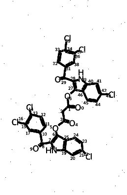 O=C(CC(=O)Oc1c(C(=O)c2ccc(Cl)c(Cl)c2)[nH]c2cc(Cl)ccc12)Oc1c(C(=O)c2ccc(Cl)c(Cl)c2)[nH]c2cc(Cl)ccc12